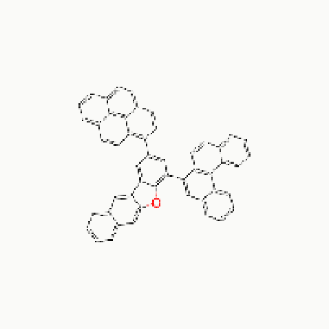 c1ccc2cc3c(cc2c1)oc1c(-c2cc4ccccc4c4c2ccc2ccccc24)cc(-c2ccc4ccc5cccc6ccc2c4c56)cc13